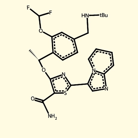 C[C@@H](Oc1nc(-c2cnc3ccccn23)sc1C(N)=O)c1ccc(CNC(C)(C)C)cc1OC(F)F